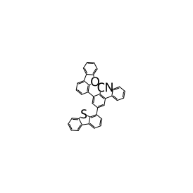 N#Cc1c(-c2ccccc2)cc(-c2cccc3c2sc2ccccc23)cc1-c1cccc2c1oc1ccccc12